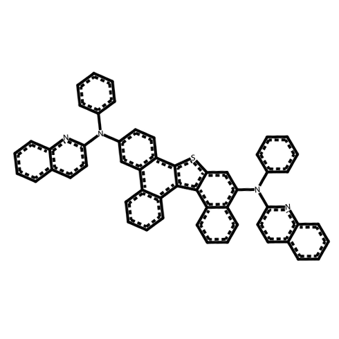 c1ccc(N(c2ccc3c(c2)c2ccccc2c2c3sc3cc(N(c4ccccc4)c4ccc5ccccc5n4)c4ccccc4c32)c2ccc3ccccc3n2)cc1